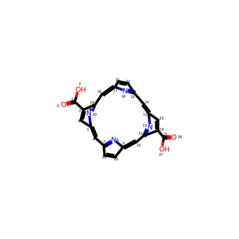 O=C(O)C1=CC2=CC3=NC(=CC4=NC(=CC5=NC(=CC1=N2)C=C5)C=C4C(=O)O)C=C3